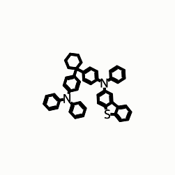 c1ccc(N(c2ccccc2)c2ccc(C3(c4ccc(N(c5ccccc5)c5ccc6sc7ccccc7c6c5)cc4)CCCCC3)cc2)cc1